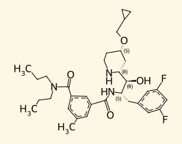 CCCN(CCC)C(=O)c1cc(C)cc(C(=O)N[C@@H](Cc2cc(F)cc(F)c2)[C@H](O)[C@H]2C[C@@H](OCC3CC3)CCN2)c1